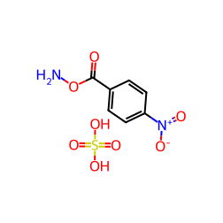 NOC(=O)c1ccc([N+](=O)[O-])cc1.O=S(=O)(O)O